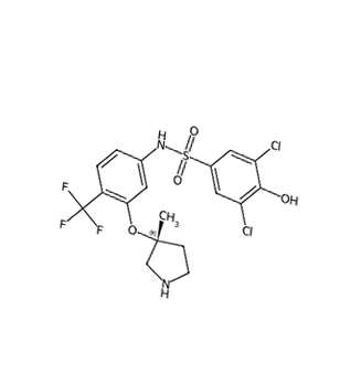 C[C@@]1(Oc2cc(NS(=O)(=O)c3cc(Cl)c(O)c(Cl)c3)ccc2C(F)(F)F)CCNC1